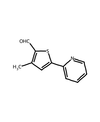 Cc1cc(-c2ccccn2)sc1C=O